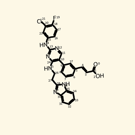 O=C(O)C=Cc1cccc(-c2cnc(Nc3ccc(F)c(Cl)c3)nc2NCCc2nc3ccccc3[nH]2)c1